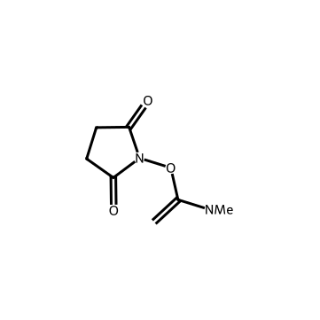 C=C(NC)ON1C(=O)CCC1=O